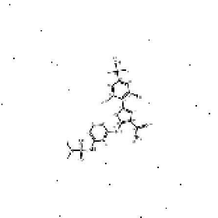 CN(C)S(=O)(=O)Nc1cccc(Nc2sc(-c3c(F)cc(C(C)(C)O)cc3F)cc2C(N)=O)n1